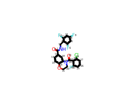 O=C(NCc1c(F)cc(F)cc1F)c1ccc2c(c1)N(C(=O)c1c(F)cccc1Cl)CCO2